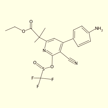 CCOC(=O)C(C)(C)c1cc(-c2ccc(N)cc2)c(C#N)c(OS(=O)C(F)(F)F)n1